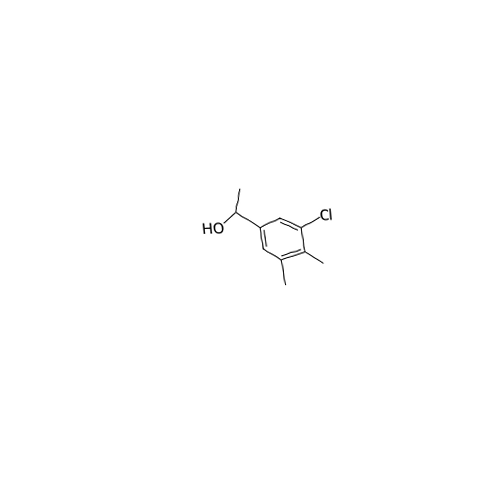 Cc1cc(C(C)O)cc(Cl)c1C